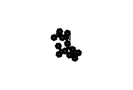 c1ccc(C2c3ccccc3-c3ccc(N(c4ccc(-c5nc6ccccc6c6c5ccc5c6c6ccccc6n5-c5ccccc5)cc4)c4ccc5c(c4)C(c4ccccc4)(c4ccccc4)c4ccccc4-5)cc32)cc1